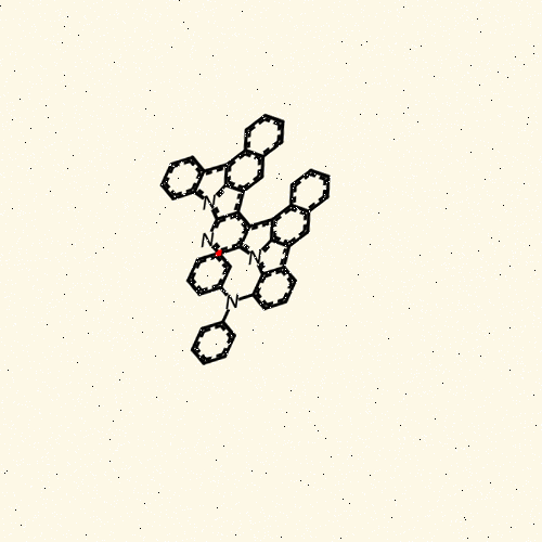 c1ccc(N(c2ccccc2)c2cccc3c4cc5ccccc5c5c6c7c8cc9ccccc9c9c%10ccccc%10n(c7ncc6n(c23)c45)c89)cc1